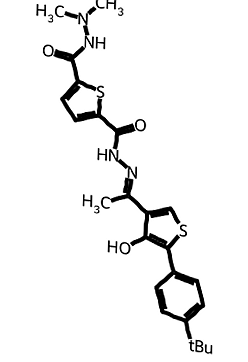 C/C(=N\NC(=O)c1ccc(C(=O)NN(C)C)s1)c1csc(-c2ccc(C(C)(C)C)cc2)c1O